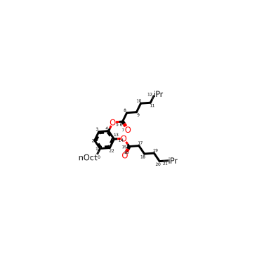 CCCCCCCCc1ccc(OC(=O)CCCCC(C)C)c(OC(=O)CCCCC(C)C)c1